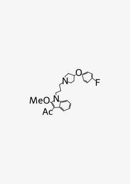 COc1c(C(C)=O)c2ccccc2n1CCCN1CCC(Oc2ccc(F)cc2)CC1